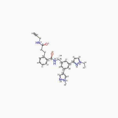 C#CCNC(=O)CCc1ccccc1C(=O)N[C@H](C)c1cc(-c2cnn(C)c2)cc(-c2ccn(CC)n2)c1